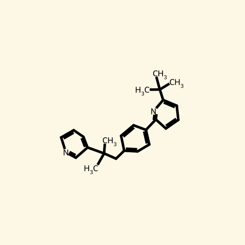 CC(C)(C)c1cccc(-c2ccc(CC(C)(C)c3cccnc3)cc2)n1